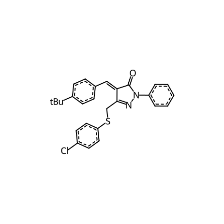 CC(C)(C)c1ccc(C=C2C(=O)N(c3ccccc3)N=C2CSc2ccc(Cl)cc2)cc1